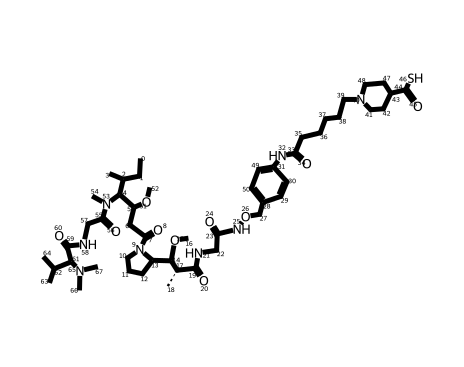 CCC(C)C(C(CC(=O)N1CCCC1C(OC)[C@@H](C)C(=O)NCC(=O)NOCc1ccc(NC(=O)CCCCCN2CCC(C(=O)S)CC2)cc1)OC)N(C)C(=O)CNC(=O)C(C(C)C)N(C)C